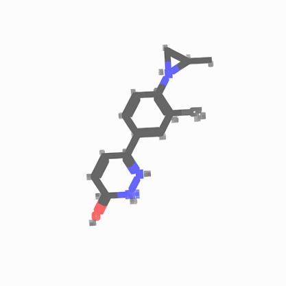 CC1CN1c1ccc(-c2ccc(=O)[nH]n2)cc1C(F)(F)F